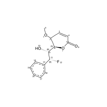 COC1C=CC(=O)O[C@H]1[C@@H](O)[C@H](F)c1ccccc1